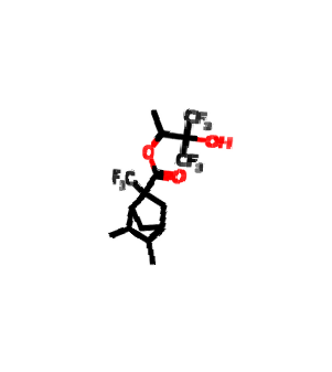 CC1C2CC(C1C)C(C(=O)OC(C)C(O)(C(F)(F)F)C(F)(F)F)(C(F)(F)F)C2